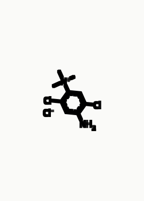 C[N+](C)(C)c1cc(Cl)c(N)cc1Cl.[Cl-]